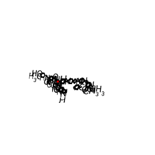 COc1cc(CN2CCN(C3CC4(CCN(c5ccc(C(=O)NS(=O)(=O)c6ccc(NC[C@H]7CC[C@](C)(O)CC7)c([N+](=O)[O-])c6)c(N6c7cc8cc[nH]c8nc7O[C@H]7COCC[C@@H]76)c5)CC4)C3)[C@@H](c3ccccc3C)C2)cnc1OC